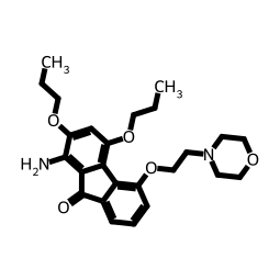 CCCOc1cc(OCCC)c2c(c1N)C(=O)c1cccc(OCCN3CCOCC3)c1-2